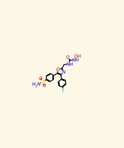 NS(=O)(=O)c1ccc(-c2oc(CNC(=O)NO)nc2-c2ccc(F)cc2)cc1